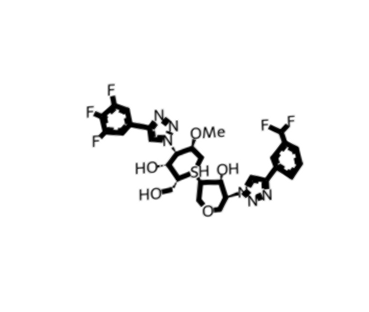 CO[C@H]1C[SH]([C@@H]2COC[C@H](n3cc(-c4cccc(C(F)F)c4)nn3)[C@H]2O)[C@H](CO)[C@H](O)[C@@H]1n1cc(-c2cc(F)c(F)c(F)c2)nn1